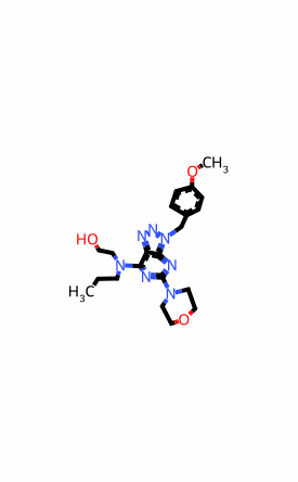 CCCN(CCO)c1nc(N2CCOCC2)nc2c1nnn2Cc1ccc(OC)cc1